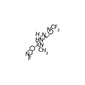 Cc1nc(NC[C@@H](N)Cc2ccc(C(F)(F)F)nc2)sc1-c1ccc2cnc(F)cc2c1